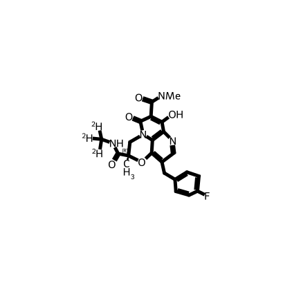 [2H]C([2H])([2H])NC(=O)[C@@]1(C)Cn2c(=O)c(C(=O)NC)c(O)c3ncc(Cc4ccc(F)cc4)c(c32)O1